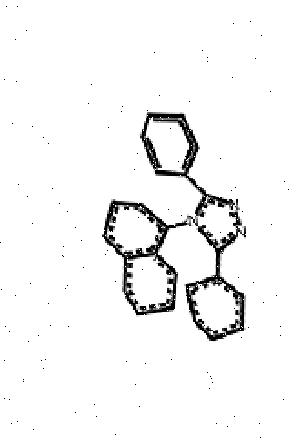 C1=C=C(c2nnc(-c3ccccc3)n2-c2cccc3ccccc23)C=CC=1